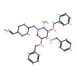 C=CC1CCC(CN2C[C@H](OCc3ccccc3)[C@@H](OCc3ccccc3)[C@H](OCc3ccccc3)[C@H]2C)CC1